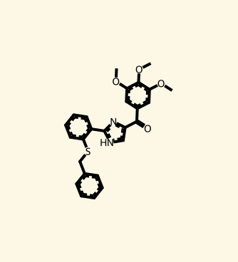 COc1cc(C(=O)c2c[nH]c(-c3ccccc3SCc3ccccc3)n2)cc(OC)c1OC